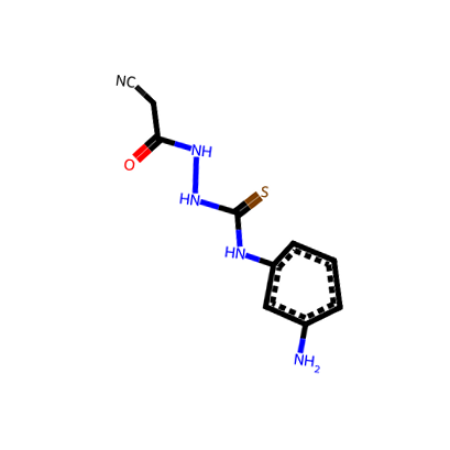 N#CCC(=O)NNC(=S)Nc1cccc(N)c1